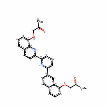 COC(=O)COc1cccc2ccc(-c3cccc(-c4ccc5cccc(OCC(=O)OC)c5n4)n3)cc12